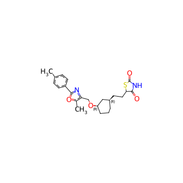 Cc1ccc(-c2nc(CO[C@@H]3CCC[C@H](CCC4SC(=O)NC4=O)C3)c(C)o2)cc1